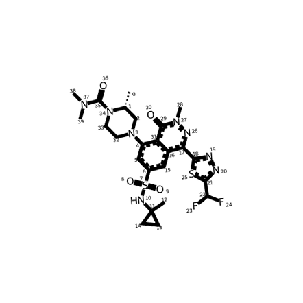 C[C@@H]1CN(c2cc(S(=O)(=O)NC3(C)CC3)cc3c(-c4nnc(C(F)F)s4)nn(C)c(=O)c23)CCN1C(=O)N(C)C